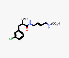 COC(Cc1cccc(Cl)c1)C(=O)NC/C=C/CNC(=O)O